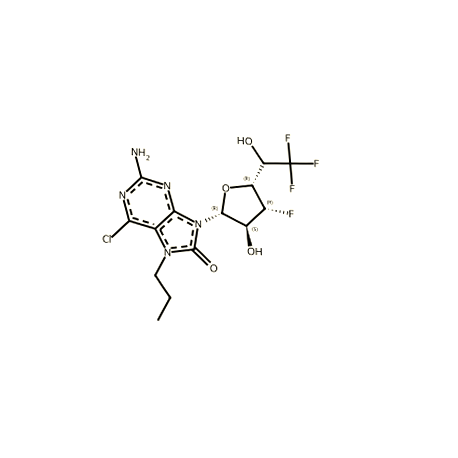 CCCn1c(=O)n([C@@H]2O[C@H](C(O)C(F)(F)F)[C@H](F)[C@H]2O)c2nc(N)nc(Cl)c21